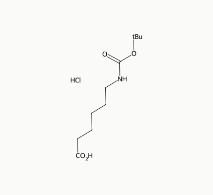 CC(C)(C)OC(=O)NCCCCCC(=O)O.Cl